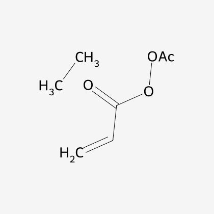 C=CC(=O)OOC(C)=O.CC